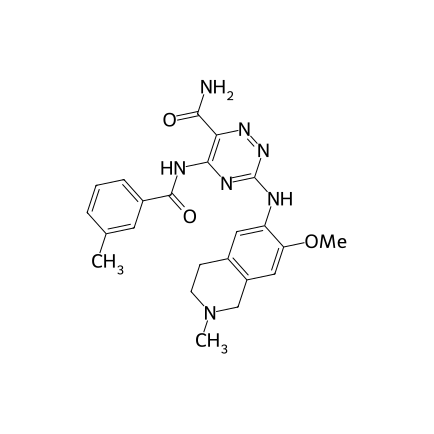 COc1cc2c(cc1Nc1nnc(C(N)=O)c(NC(=O)c3cccc(C)c3)n1)CCN(C)C2